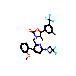 COc1ccccc1-c1ccc(N2CC(F)(F)C2)nc1CN1C(=O)OC(c2cc(C)cc(C(F)(F)F)c2)C1C